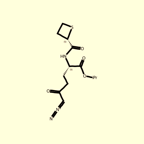 CC(C)OC(=O)[C@H](CCC(=O)C=[N+]=[N-])NC(=O)[C@@H]1CCS1